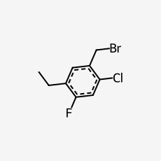 CCc1cc(CBr)c(Cl)cc1F